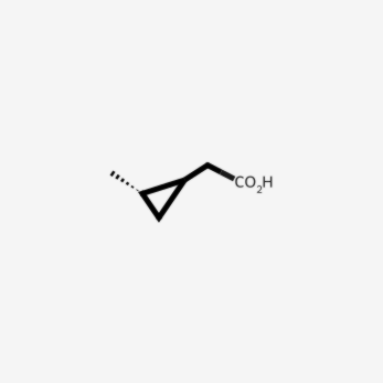 C[C@H]1CC1CC(=O)O